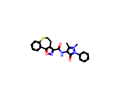 Cc1c(NC(=O)c2noc3c2CCSc2ccccc2-3)c(=O)n(-c2ccccc2)n1C